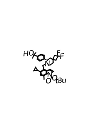 Cc1cc(C2CC2)c(CN2CCC3(C[C@@H]2c2ccc(C(C)(C)O)cc2)CC(F)(F)C3)c2ccn(C(=O)OC(C)(C)C)c12